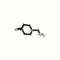 [CH2]CN1CCC(=O)CC1